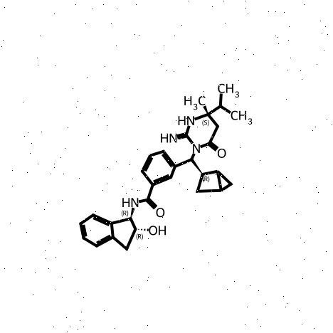 CC(C)[C@]1(C)CC(=O)N(C(c2cccc(C(=O)N[C@@H]3c4ccccc4C[C@H]3O)c2)[C@@H]2CC3CC32)C(=N)N1